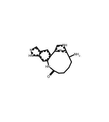 NC1CCCCC(=O)Nc2cc3[nH]ncc3cc2-c2c[nH]c1n2